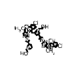 Cc1nn(C(CC2CC(C3CN(c4cnc5c(C)nn(C(C)c6ccc(Cl)cc6Cl)c5n4)C3)CN(CCO)C2)c2ccc(Cl)cc2Cl)c2nc(N3CC(C4CCCN(CCO)C4)C3)ncc12